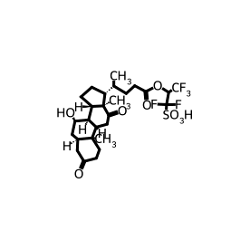 CC(CCC(=O)OC(C(F)(F)F)C(F)(F)S(=O)(=O)O)[C@H]1CC[C@H]2[C@@H]3[C@H](O)C[C@@H]4CC(=O)CC[C@]4(C)[C@H]3CC(=O)[C@]12C